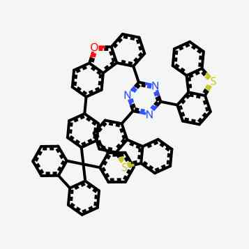 c1ccc2c(c1)-c1ccccc1C21c2ccccc2-c2cc(-c3ccc4oc5cccc(-c6nc(-c7cccc8sc9ccccc9c78)nc(-c7cccc8sc9ccccc9c78)n6)c5c4c3)ccc21